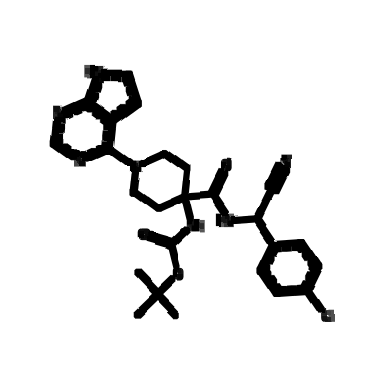 CC(C)(C)OC(=O)NC1(C(=O)NC(C#N)c2ccc(Cl)cc2)CCN(c2ncnc3[nH]ccc23)CC1